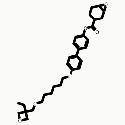 CCC1(COCCCCCCOc2ccc(-c3ccc(OC(=O)C4CCC5OC5C4)cc3)cc2)COC1